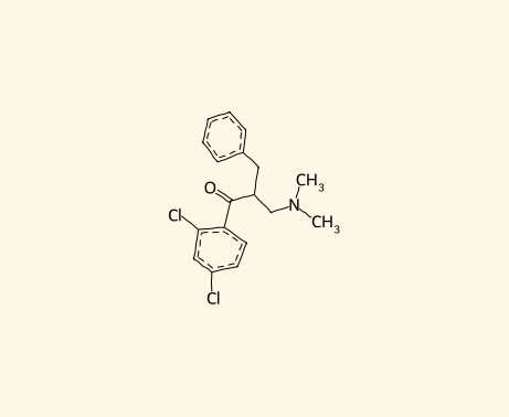 CN(C)CC(Cc1ccccc1)C(=O)c1ccc(Cl)cc1Cl